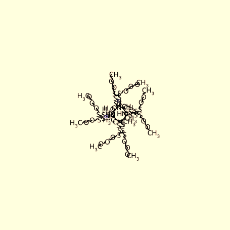 CCCOCCOCCSC1=C(SCCOCCOCCC)SC(=C2Sc3c4[nH]c(c3S2)C(C)(C)c2[nH]c(c3c2S/C(=C2/SC(SCCOCCOCCC)=C(SCCOCCOCCOC)S2)S3)C(C)(C)c2[nH]c(c3c2S/C(=C2/SC(SCCOCCOCCC)=C(SCCOCCOCCOC)S2)S3)C(C)(C)C2=C3SC(=C5SC(SCCOCCOCCOC)=C(SCCOCCOCCOC)S5)SC3=C(C2)C4(C)C)S1